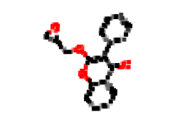 O=c1c(-c2ccccc2)c(OCC2CO2)oc2ccccc12